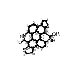 OC1Nc2ccc3c4ccsc4c4c5c6c(ccc7c8c(c1c(c2c35)c76)SCC8)NC4O